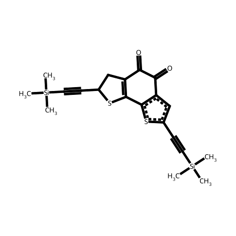 C[Si](C)(C)C#Cc1cc2c(s1)C1=C(CC(C#C[Si](C)(C)C)S1)C(=O)C2=O